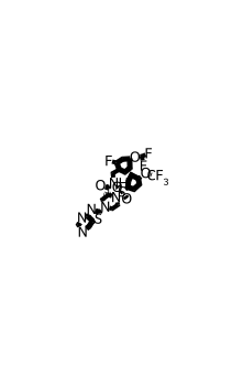 O=C(NCc1ccc(OC(F)F)cc1F)[C@H]1CN(c2nc3ncncc3s2)CCN1S(=O)(=O)c1ccc(OC(F)(F)F)cc1